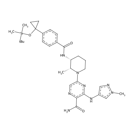 C[C@@H]1[C@H](NC(=O)c2ccc(C3(O[Si](C)(C)C(C)(C)C)CC3)cc2)CCCN1c1cnc(C(N)=O)c(Nc2cnn(C)c2)n1